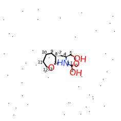 O=C(O)N[C@H](CO)C[C@H]1CCCCOC1